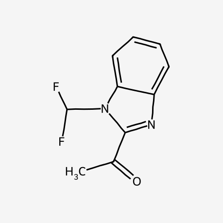 CC(=O)c1nc2ccccc2n1C(F)F